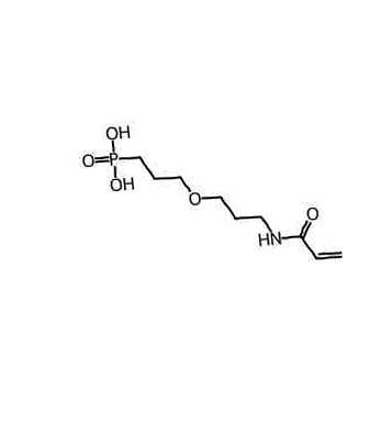 C=CC(=O)NCCCOCCCP(=O)(O)O